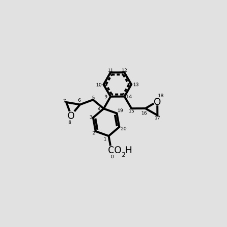 O=C(O)C1C=CC(CC2CO2)(c2ccccc2CC2CO2)C=C1